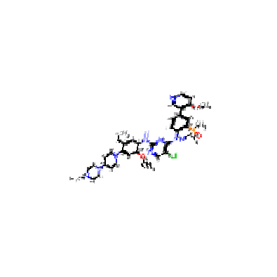 CCC1=CC(Nc2ncc(Cl)c(Nc3ccc(-c4cnccc4OC)cc3P(C)(C)=O)n2)C(OC)C=C1N1CCC(N2CCN(C)CC2)CC1